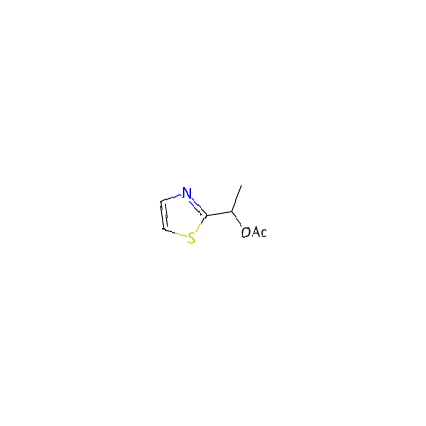 CC(=O)OC(C)c1nccs1